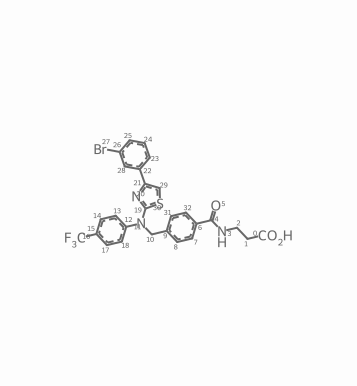 O=C(O)CCNC(=O)c1ccc(CN(c2ccc(C(F)(F)F)cc2)c2nc(-c3cccc(Br)c3)cs2)cc1